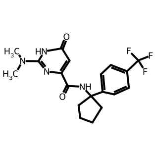 CN(C)c1nc(C(=O)NC2(c3ccc(C(F)(F)F)cc3)CCCC2)cc(=O)[nH]1